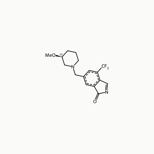 CO[C@H]1CCCN(Cc2cc3c(c(C(F)(F)F)c2)C=NC3=O)C1